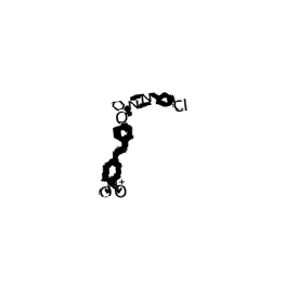 O=C(COc1ccc(C=Cc2ccc([N+](=O)[O-])cc2)cc1)N1CCN(Cc2ccc(Cl)cc2)CC1